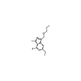 CCCOCn1nc(C)c2c(F)cc(CC)cc21